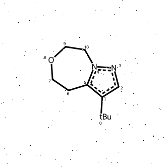 CC(C)(C)c1cnn2c1CCOCC2